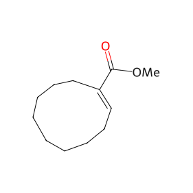 COC(=O)/C1=C/CCCCCCCC1